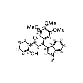 COc1cc(C(CC(=O)N2CCCC=C2O)c2cn(C)c3ccccc23)cc(OC)c1OC